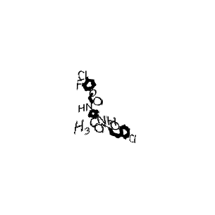 CC1(NC(=O)[C@H]2C=Cc3cc(Cl)ccc3O2)CC(NC(=O)COc2ccc(Cl)c(F)c2)C1